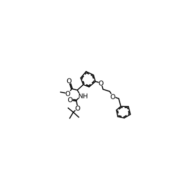 COC(=O)C(NC(=O)OC(C)(C)C)c1cccc(OCCOCc2ccccc2)c1